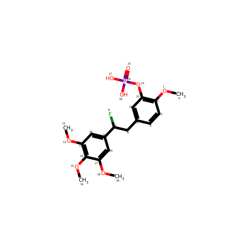 COc1ccc(CC(F)c2cc(OC)c(OC)c(OC)c2)cc1OP(=O)(O)O